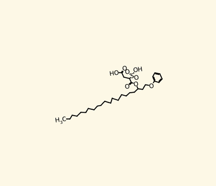 CCCCCCCCCCCCCCCCCCC(CCOc1ccccc1)OC(=O)C(CC(=O)O)S(=O)(=O)O